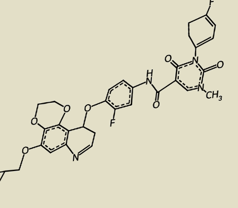 Cn1cc(C(=O)Nc2ccc(OC3CC=Nc4cc(OCC5CC5)c5c(c43)OCCO5)c(F)c2)c(=O)n(C2=CC=C(F)CC2)c1=O